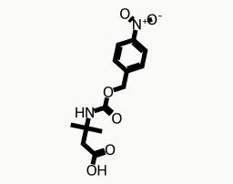 CC(C)(CC(=O)O)NC(=O)OCc1ccc([N+](=O)[O-])cc1